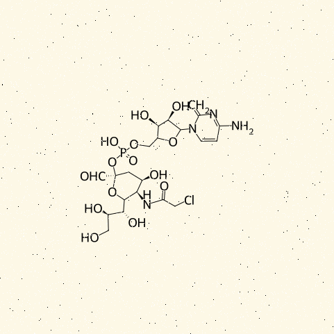 C=C1N=C(N)C=CN1C1OC(COP(=O)(O)O[C@@]2(C=O)C[C@@H](O)[C@@H](NC(=O)CCl)C([C@H](O)[C@H](O)CO)O2)[C@@H](O)[C@H]1O